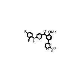 COc1ccc(-c2ccnc([S+](C)[O-])n2)cc1C(=O)c1ccc(Nc2ccc(F)cc2F)nc1